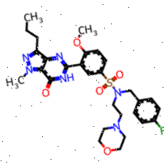 CCCc1nn(C)c2c(=O)[nH]c(-c3cc(S(=O)(=O)N(CCN4CCOCC4)Cc4ccc(F)cc4)ccc3OC)nc12